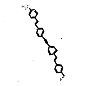 Cc1ccc(/C=C/c2ccc(C#Cc3ccc(/C=C/c4ccc(CF)cc4)cc3)cc2)cc1